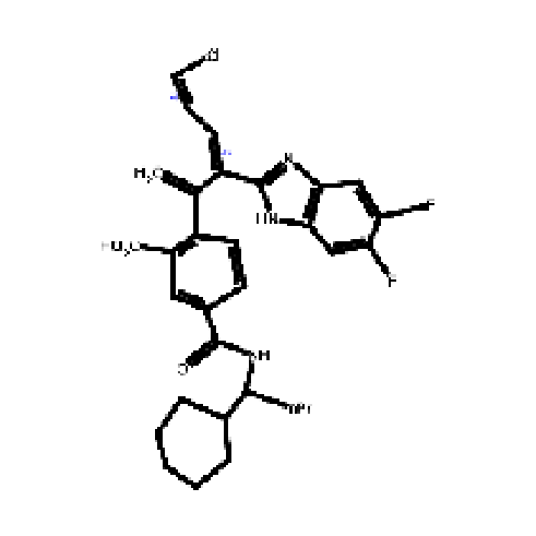 C=C(/C(=C\C=C/Cl)c1nc2cc(F)c(F)cc2[nH]1)c1ccc(C(=O)NC(CCC)C2CCCCC2)cc1C(=O)O